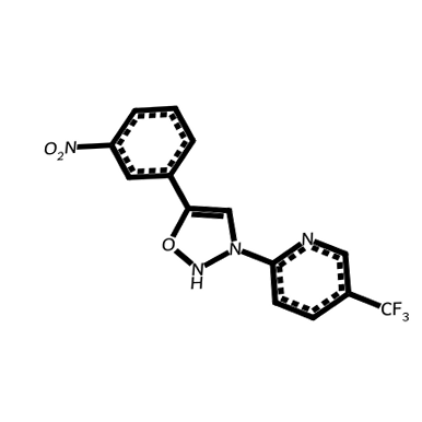 O=[N+]([O-])c1cccc(C2=CN(c3ccc(C(F)(F)F)cn3)NO2)c1